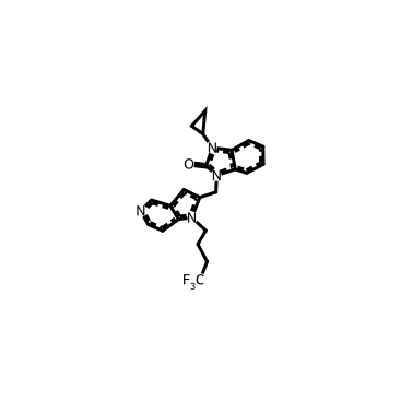 O=c1n(Cc2cc3cnccc3n2CCCC(F)(F)F)c2ccccc2n1C1CC1